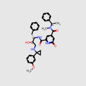 COc1cccc(C2(NC[C@@H](O)[C@H](Cc3ccccc3)NC(=O)c3cc(C(=O)N(C)[C@H](C)c4ccccc4)cc(=O)[nH]3)CC2)c1